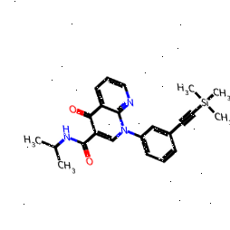 CC(C)NC(=O)c1cn(-c2cccc(C#C[Si](C)(C)C)c2)c2ncccc2c1=O